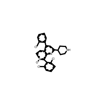 [O-][n+]1ccc2c(-c3ccccc3Cl)cc(C3CCNCC3)nc2c1-c1c(Cl)cccc1Cl